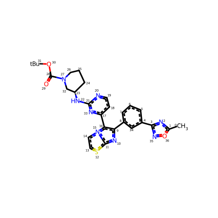 Cc1nc(-c2cccc(-c3nc4sccn4c3-c3ccnc(N[C@@H]4CCCN(C(=O)OC(C)(C)C)C4)n3)c2)no1